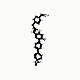 CS(=O)(=O)c1ccc(-c2ccc(-c3cc4cc(CC5CCC(CO)CC5)[nH]c4cc3Cl)cc2)cc1